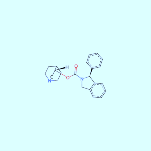 O=C(O[C@@H]1CN2CCC1CC2)N1Cc2ccccc2[C@@H]1c1ccccc1